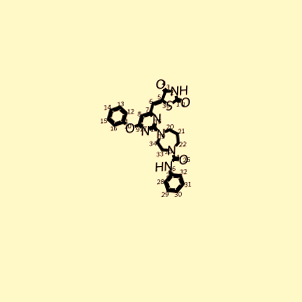 O=C1NC(=O)C(=Cc2cc(Oc3ccccc3)nc(N3CCCN(C(=O)Nc4ccccc4)CC3)n2)S1